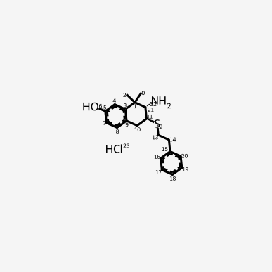 CC1(C)c2cc(O)ccc2C[C@H](SCCc2ccccc2)[C@H]1N.Cl